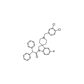 O=C(C(c1ccccc1)c1ccccc1)N1CC2(CCN(Cc3ccc(Cl)c(Cl)c3)CC2)c2cc(F)ccc21